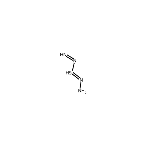 N=N[SiH]=NN